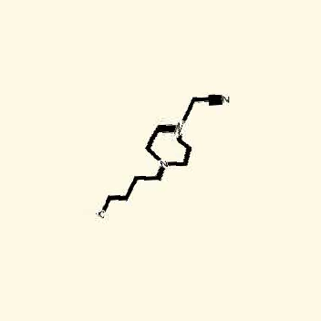 N#CCN1CCN(CCCC[O])CC1